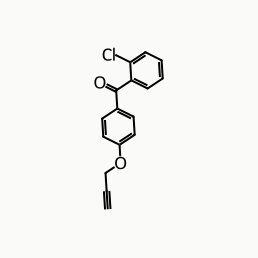 C#CCOc1ccc(C(=O)c2ccccc2Cl)cc1